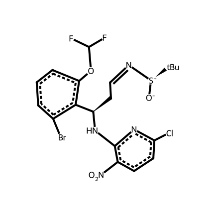 CC(C)(C)[S@@+]([O-])N=CC[C@@H](Nc1nc(Cl)ccc1[N+](=O)[O-])c1c(Br)cccc1OC(F)F